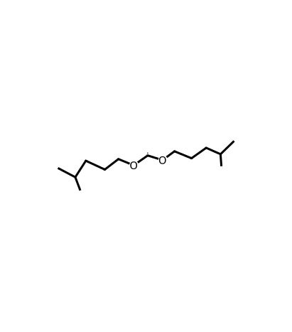 CC(C)CCCO[CH]OCCCC(C)C